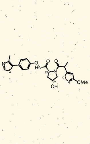 COc1cc(C(C)C(=O)N2C[C@H](O)C[C@H]2C(=O)NOc2ccc(-c3scnc3C)cc2)on1